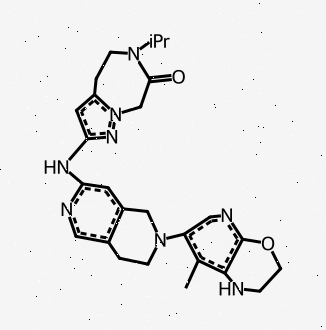 Cc1c(N2CCc3cnc(Nc4cc5n(n4)CC(=O)N(C(C)C)CC5)cc3C2)cnc2c1NCCO2